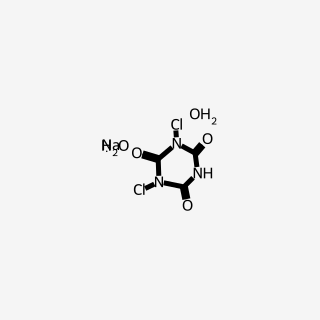 O.O.O=c1[nH]c(=O)n(Cl)c(=O)n1Cl.[Na]